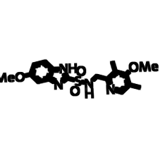 COc1ccc2[nH]c(S(=O)(=O)NCc3ncc(C)c(OC)c3C)nc2c1